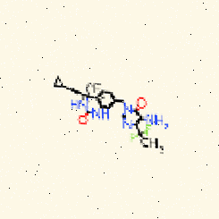 CC(F)(F)c1ncn(Cc2ccc3c(c2)NC(=O)N[C@]3(C#CC2CC2)C(F)(F)F)c(=O)c1N